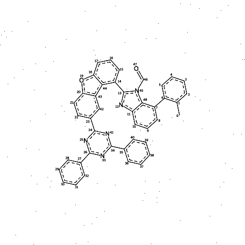 Cc1ccccc1-c1cccc2nc(-c3cccc4oc5ccc(-c6nc(-c7ccccc7)nc(-c7ccccc7)n6)cc5c34)n(C=O)c12